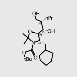 CCC[C@@H](CO)[C@H](O)[C@@H]1OC(C)(C)N(C(=O)OC(C)(C)C)[C@H]1CC1CCCCC1